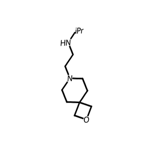 CC(C)NCCN1CCC2(CC1)COC2